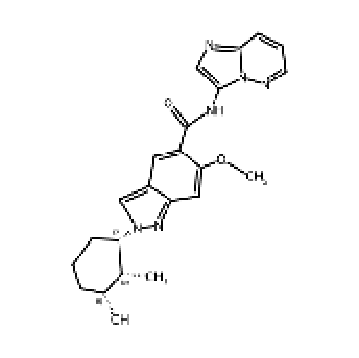 COc1cc2nn([C@H]3CCC[C@@H](O)[C@H]3C)cc2cc1C(=O)Nc1cnc2cccnn12